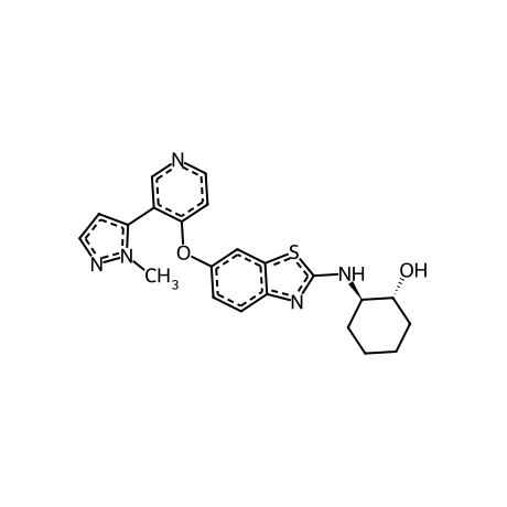 Cn1nccc1-c1cnccc1Oc1ccc2nc(N[C@@H]3CCCC[C@H]3O)sc2c1